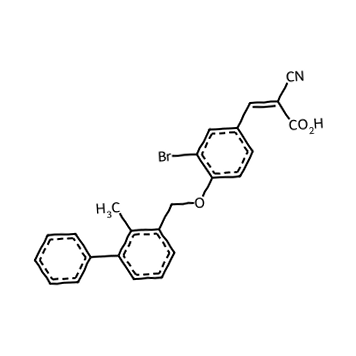 Cc1c(COc2ccc(C=C(C#N)C(=O)O)cc2Br)cccc1-c1ccccc1